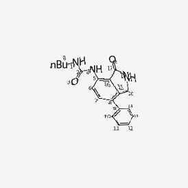 CCCCNC(=O)Nc1ccc(-c2ccccc2)c2c1C(=O)NC2